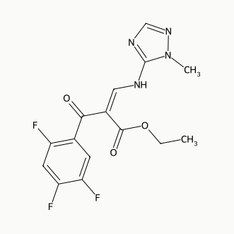 CCOC(=O)C(=CNc1ncnn1C)C(=O)c1cc(F)c(F)cc1F